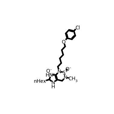 CCCCCCC1NC2=C(N(CCCCCCOc3ccc(Cl)cc3)[S+]([O-])N(C)C2)[NH+]1[O-]